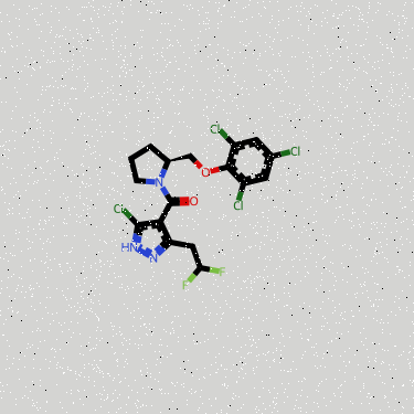 O=C(c1c(CC(F)F)n[nH]c1Cl)N1CCC[C@H]1COc1c(Cl)cc(Cl)cc1Cl